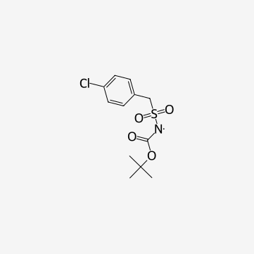 CC(C)(C)OC(=O)[N]S(=O)(=O)Cc1ccc(Cl)cc1